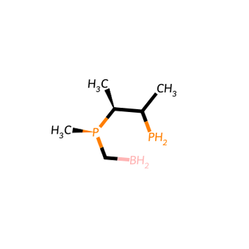 BC[P@@](C)[C@@H](C)C(C)P